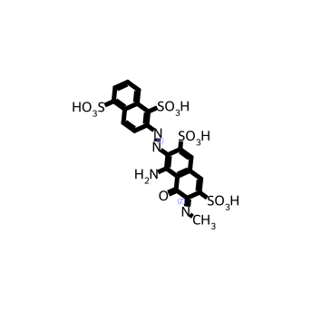 C/N=C1/C(=O)c2c(cc(S(=O)(=O)O)c(/N=N/c3ccc4c(S(=O)(=O)O)cccc4c3S(=O)(=O)O)c2N)C=C1S(=O)(=O)O